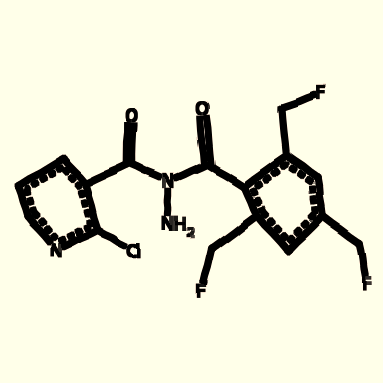 NN(C(=O)c1cccnc1Cl)C(=O)c1c(CF)cc(CF)cc1CF